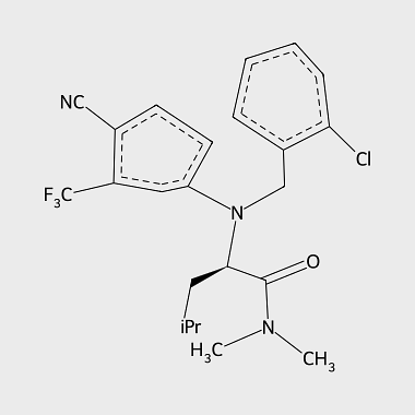 CC(C)C[C@H](C(=O)N(C)C)N(Cc1ccccc1Cl)c1ccc(C#N)c(C(F)(F)F)c1